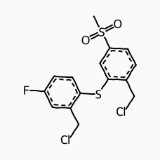 CS(=O)(=O)c1ccc(CCl)c(Sc2ccc(F)cc2CCl)c1